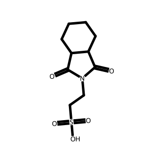 O=C1C2CCCCC2C(=O)N1CCS(=O)(=O)O